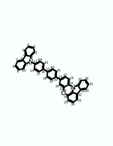 c1ccc2c(c1)c1ccccc1n2-c1ccc(-c2ccc(-c3ccc4c(c3)Oc3cccc5c6ccccc6n-4c35)cc2)cc1